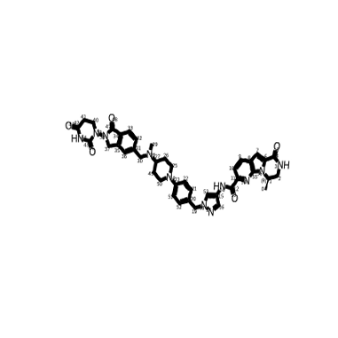 C[C@@H]1CNC(=O)c2cc3ccc(C(=O)Nc4cnn(Cc5ccc(N6CCC(N(C)Cc7ccc8c(c7)CN(N7CCC(=O)NC7=O)C8=O)CC6)cc5)c4)nc3n21